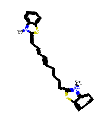 CCN1/C(=C/C=C/C=C/C=C/C=C/c2sc3ccccc3[n+]2CC)Sc2ccccc21